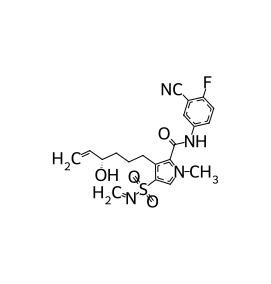 C=C[C@@H](O)CCCc1c(S(=O)(=O)N=C)cn(C)c1C(=O)Nc1ccc(F)c(C#N)c1